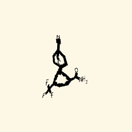 N#CC12CCC(c3cc(C(F)(F)F)ccc3C(N)=O)(CC1)CC2